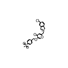 CS(=O)(=O)c1ccc(COc2coc(CN3Cc4ccc(Cl)cc4C3)cc2=O)cc1